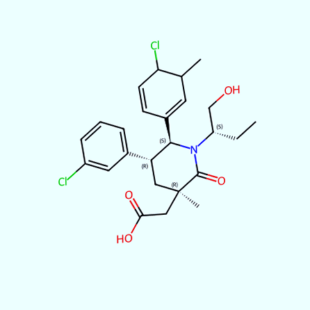 CC[C@@H](CO)N1C(=O)[C@@](C)(CC(=O)O)C[C@H](c2cccc(Cl)c2)[C@H]1C1=CC(C)C(Cl)C=C1